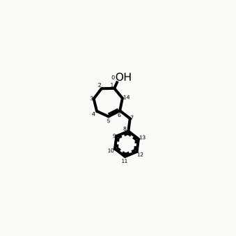 OC1CCCC=C(Cc2ccccc2)C1